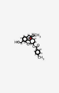 Cc1ccc(C(=O)OC2=CC[C@@]3(O)[C@H]4Cc5ccc(CO)c6c5[C@@]3(CCN4C)C2O6)cc1